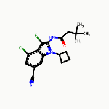 CC(C)(C)CC(=O)Nc1c(F)c2c(Cl)cc(C#N)cc2n1C1CCC1